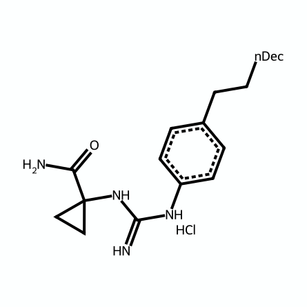 CCCCCCCCCCCCc1ccc(NC(=N)NC2(C(N)=O)CC2)cc1.Cl